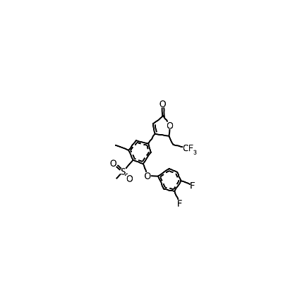 Cc1cc(C2=CC(=O)OC2CC(F)(F)F)cc(Oc2ccc(F)c(F)c2)c1S(C)(=O)=O